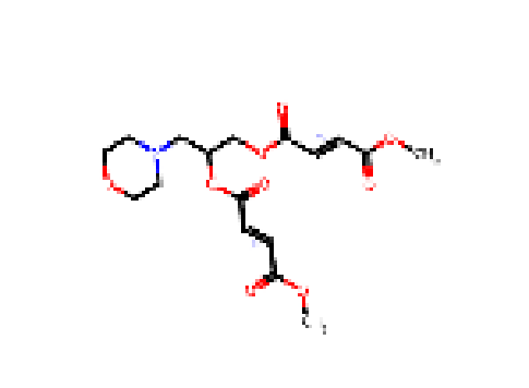 COC(=O)/C=C/C(=O)OCC(CN1CCOCC1)OC(=O)/C=C/C(=O)OC